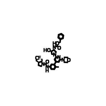 Cc1ccc(NC(=O)N2CC[C@@H](CC(F)(F)F)C2)cc1-c1cc(N2CCOCC2)nc(N2C[C@@H](O)[C@H](NC(=O)OCc3ccccc3)C2)c1